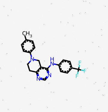 Cc1ccc(N2CCc3ncnc(Nc4ccc(C(F)(F)F)cc4)c3C2)cc1